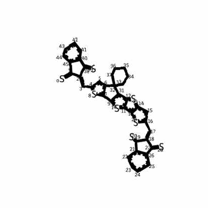 S=C1C(=Cc2cc3c(s2)-c2sc4c(sc5cc(C=C6C(=S)c7ccccc7C6=S)sc54)c2C32CCCCC2)C(=S)c2ccccc21